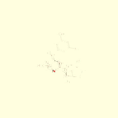 Cc1cc(F)cc(Oc2nc(N[C@H]3[C@@H]4CC[C@H]3CN(c3cc(Cl)ncn3)C4)nn2C)c1